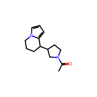 CC(=O)N1CCC(C2CCCn3cccc32)C1